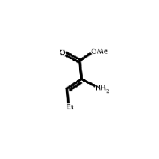 CCC=C(N)C(=O)OC